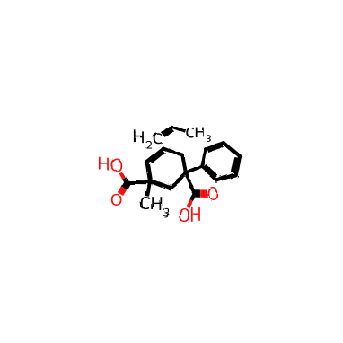 C=CC.CC1(C(=O)O)C=CCC(C(=O)O)(c2ccccc2)C1